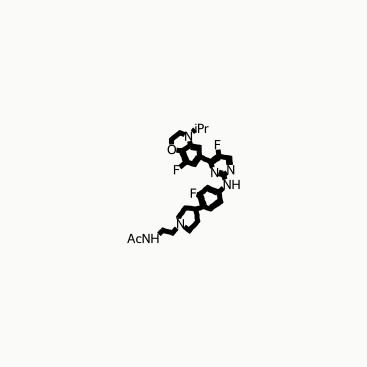 CC(=O)NCCN1CCC(c2ccc(Nc3ncc(F)c(-c4cc(F)c5c(c4)N(C(C)C)CCO5)n3)cc2F)CC1